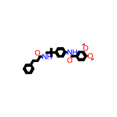 COc1ccc(C(=O)Nc2ccc(C(C)(C)CNC(=O)CCc3ccccc3)cc2)cc1OC